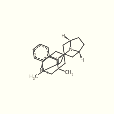 CC12CC3CC(C)(C1)CC(N1[C@@H]4CC[C@H]1C[C@H](Nc1ccccc1N)C4)(C3)C2